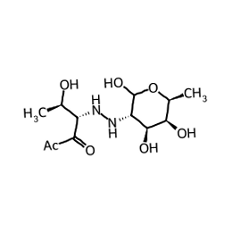 CC(=O)C(=O)[C@@H](NN[C@@H]1C(O)O[C@@H](C)[C@@H](O)[C@H]1O)[C@@H](C)O